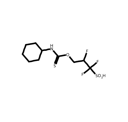 O=S(=O)(O)C(F)(F)C(F)COC(=S)NC1CCCCC1